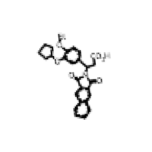 CCOc1ccc(C(CC(=O)O)N2C(=O)c3cc4ccccc4cc3C2=O)cc1OC1CCCC1